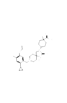 CCOc1cc(CN2CCC3(CC2)CN(C2CCC(C)(C(=O)O)CC2)C(=O)N3)c(C2CC2)cc1C